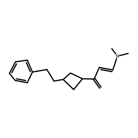 C=C(/C=C/N(C)C)C1CC(CCc2ccccc2)C1